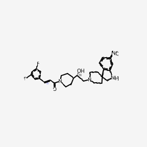 [C-]#[N+]c1ccc2c(c1)NCC21CCN(C[C@@H](O)C2CCN(C(=O)/C=C/c3cc(F)cc(F)c3)CC2)CC1